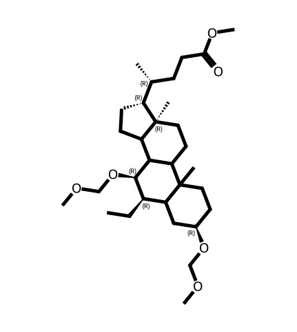 CC[C@@H]1C2C[C@H](OCOC)CCC2(C)C2CC[C@@]3(C)C(CC[C@@H]3[C@H](C)CCC(=O)OC)C2[C@@H]1OCOC